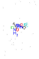 NC(=O)c1c(Cl)c(C2CC2)n2c1CN(C(=O)Nc1cccc(C(F)(F)F)c1)CC2